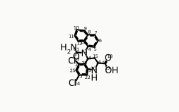 NC(=O)N(c1cccc2ccccc12)C1CC(C(=O)O)Nc2cc(Cl)cc(Cl)c21